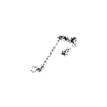 C=C1c2cc(OC)c(OCCCCCOc3cc4c(cc3OC)C(=O)N3C=C(C)C[C@@]3(N)C=N4)cc2N(C(=O)OCc2ccc(NC(=O)[C@H](C)NC(=O)C(NC(=O)CCOCCCCCCOCCOCCOCCOCCOCCOCCNC(=O)CCN3C(=O)CC(C4CCCCCCCCCCCC4)C3(C)C)C(C)C)cc2)[C@@H](O)[C@]2(N)CC(C)=CN12